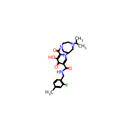 Cc1ccc(CNC(=O)c2cn3c(c(O)c2=O)C(=O)N2CCN(C(C)C)CC3C2)c(F)c1